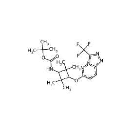 CC(C)(C)OC(=O)NC1C(C)(C)C(Oc2ccc3nnc(C(F)(F)F)n3n2)C1(C)C